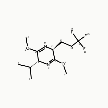 COC1=N[C@H](C(C)C)C(OC)=N[C@H]1CCC(F)(F)F